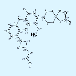 Cc1nc(N2CCC3(CC2)CO[C@@H](C)C3)c(CO)nc1Sc1ccnc(N2CC(C[S+]=O)C2)c1Cl